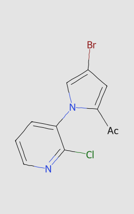 CC(=O)c1cc(Br)cn1-c1cccnc1Cl